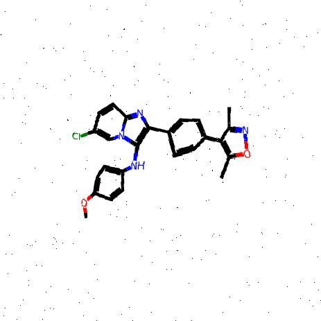 COc1ccc(Nc2c(-c3ccc(-c4c(C)noc4C)cc3)nc3ccc(Cl)cn23)cc1